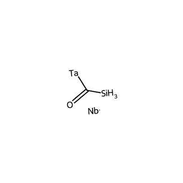 O=[C]([SiH3])[Ta].[Nb]